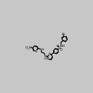 O=[N+]([O-])c1ccc(NCCNc2nccc(-c3ccc(S(=O)(=O)NCc4cccc(Br)c4)cc3)n2)nc1